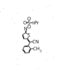 CCCS(=O)(=O)ON=C1C=CC(=C(C#N)c2ccccc2C)S1